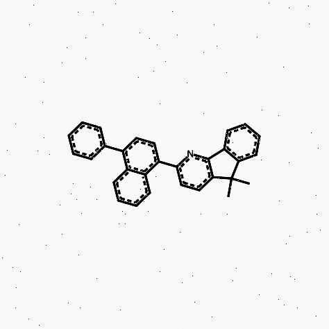 CC1(C)c2ccccc2-c2nc(-c3ccc(-c4ccccc4)c4ccccc34)ccc21